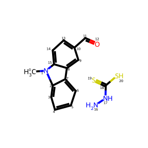 Cn1c2ccccc2c2cc(C=O)ccc21.NNC(=S)S